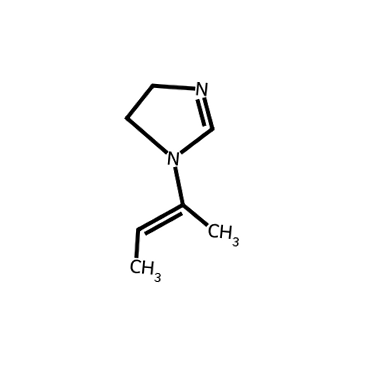 C/C=C(\C)N1C=NCC1